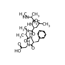 CN[C@@H](C)C(=O)N[C@@H](CC(C)C)C(=O)N(C)[C@@H](C)C(=O)N[C@@H](Cc1ccccc1)C(=O)NCC(=O)O